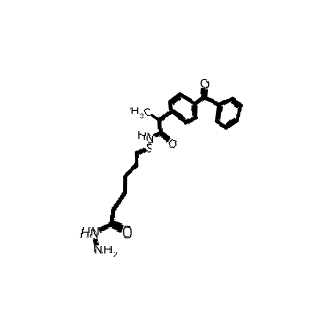 CC(C(=O)NSCCCCCC(=O)NN)c1ccc(C(=O)c2ccccc2)cc1